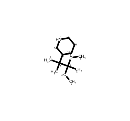 COC(C)(OC)C(C)([SiH3])C1CCCNC1